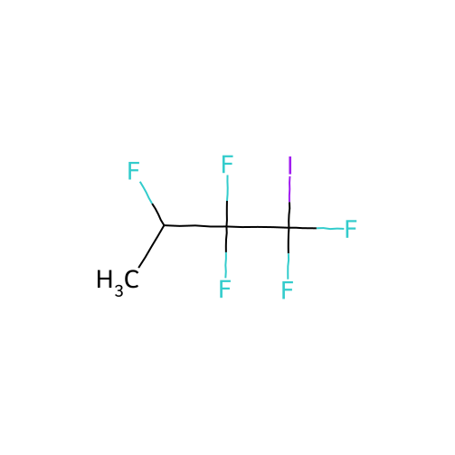 CC(F)C(F)(F)C(F)(F)I